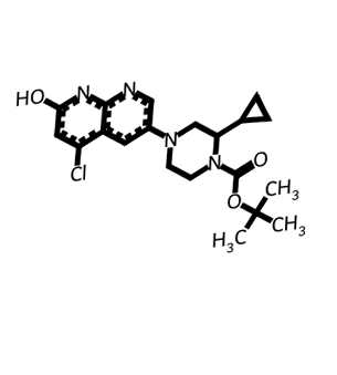 CC(C)(C)OC(=O)N1CCN(c2cnc3nc(O)cc(Cl)c3c2)CC1C1CC1